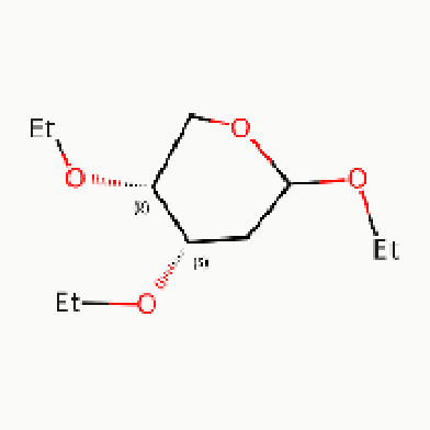 CCOC1C[C@H](OCC)[C@H](OCC)CO1